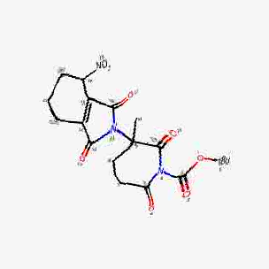 CC(C)(C)OC(=O)N1C(=O)CCC(C)(N2C(=O)C3=C(C2=O)C([N+](=O)[O-])CCC3)C1=O